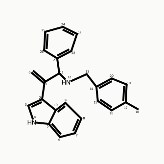 C=C(c1c[nH]c2ccccc12)C(NCc1ccc(C)cc1)c1ccccc1